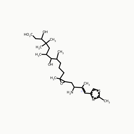 C/C(=C\c1csc(C)n1)C(N)CC1OC1(C)CCCC(C)C(O)C(C)CC(C)(C)C(O)CC(=O)O